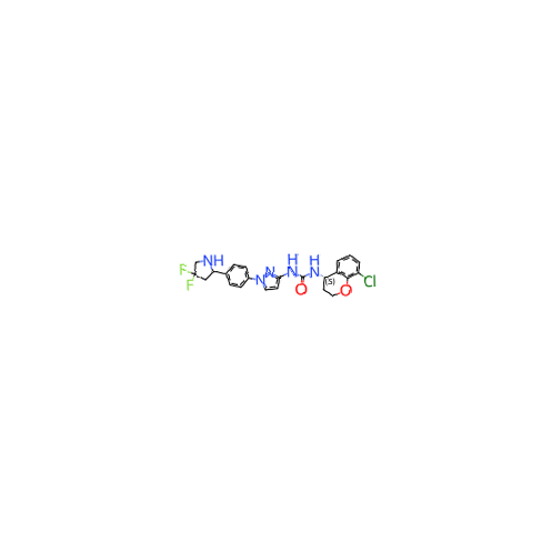 O=C(Nc1ccn(-c2ccc(C3CC(F)(F)CN3)cc2)n1)N[C@H]1CCOc2c(Cl)cccc21